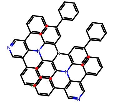 Clc1cc2c3c(c1)N(c1c(-c4ccccc4)cncc1-c1ccccc1)c1ccc(-c4ccccc4)cc1B3c1cc(-c3ccccc3)ccc1N2c1c(-c2ccccc2)cncc1-c1ccccc1